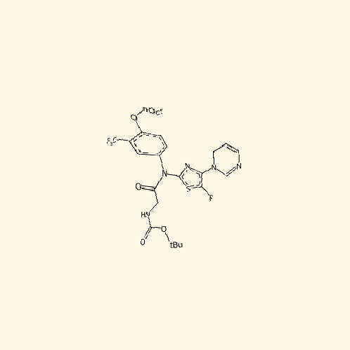 CCCCCCCCOc1ccc(N(C(=O)CNC(=O)OC(C)(C)C)c2nc(N3C=NC=CC3)c(F)s2)cc1C(F)(F)F